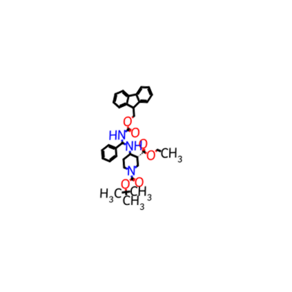 CCOC(=O)[C@@H]1CN(C(=O)OC(C)(C)C)CCC1NC(NC(=O)OCC1c2ccccc2-c2ccccc21)c1ccccc1